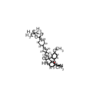 CCOc1ccc(OC)cc1C1(N2CC3(CN(C4CCN(C(=O)OC(C)(C)C)CC4)C3)C2)C(=O)Nc2ccc(C#N)cc21